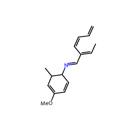 C=C\C=C/C(/C=N/C1C=CC(OC)=CC1C)=C\C